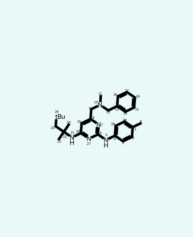 Cc1ccc(Nc2nc(CN(C)Cc3ccccc3)cc(NC(C)(C)CC(C)(C)C)n2)cc1